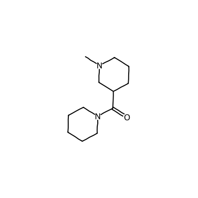 CN1CCCC(C(=O)N2CCCCC2)C1